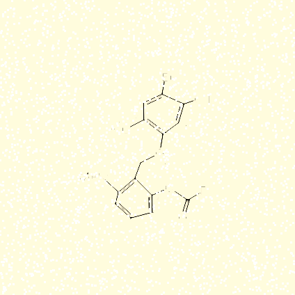 CCC(=O)Oc1cccc(SC)c1COc1cc(C)c(CC)cc1C(F)(F)F